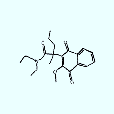 CCCC(C)(C(=O)N(CC)CC)C1=C(OC)C(=O)c2ccccc2C1=O